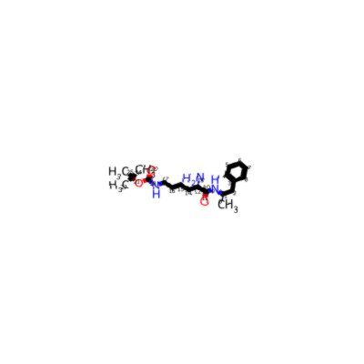 C[C@@H](Cc1ccccc1)NC(=O)[C@@H](N)CCCCNC(=O)OC(C)(C)C